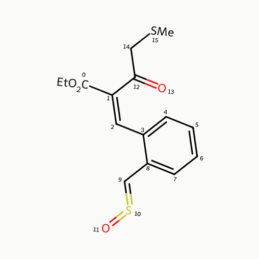 CCOC(=O)C(=Cc1ccccc1C=S=O)C(=O)CSC